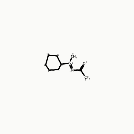 C/S(=N\C(=O)C(F)(F)F)C1CCCCC1